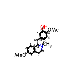 COc1ccc2c(c1)CCN(C)[C@@H]2Cc1ccc(OC)c(O)c1